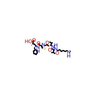 CNCCCCCC(=O)N[C@H](C(=O)N(C)[C@H](CC(=O)c1nc(C(=O)N[C@@H](Cc2ccccc2)C[C@H](C)C(=O)O)cs1)C(C)C)C(C)C